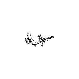 CCCCOC(=O)C(C)(C)NP(CO[C@H](C)Cn1cnc2c(N)ncnc21)ON=C(C)C